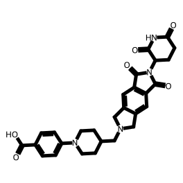 O=C1CCC(N2C(=O)c3cc4c(cc3C2=O)CN(CC2CCN(c3ccc(C(=O)O)cc3)CC2)C4)C(=O)N1